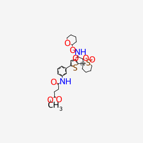 COC(=O)CCC(=O)Nc1cccc(-c2ccc([C@@]3(CC(=O)NOC4CCCCO4)CCCCS3(=O)=O)s2)c1